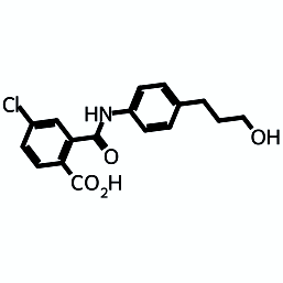 O=C(O)c1ccc(Cl)cc1C(=O)Nc1ccc(CCCO)cc1